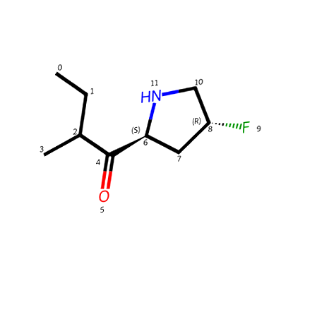 CCC(C)C(=O)[C@@H]1C[C@@H](F)CN1